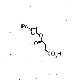 CC(C)N1CC(OC(=O)CCC(=O)O)C1